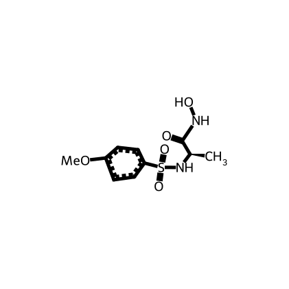 COc1ccc(S(=O)(=O)N[C@H](C)C(=O)NO)cc1